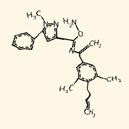 C=CCc1c(C)cc(C(=C)/N=C(\ON)c2cc(-c3ccccc3)n(C)n2)cc1C